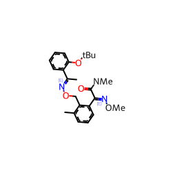 CNC(=O)/C(=N/OC)c1cccc(C)c1CO/N=C(\C)c1ccccc1OC(C)(C)C